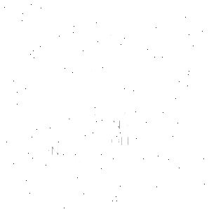 Cc1cc(/C(CC(c2ccccc2)c2ccccc2)=N\O)cc(C)n1